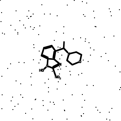 CC(c1cccc2c1nc([N+](=O)[O-])n2O)N1CCOCC1